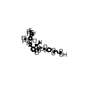 N#CC1(N(COC(=O)OC2CCC(OC(=O)CCC(=O)O)CC2)C(=O)c2cc(-c3cnn(-c4c(Cl)cc(C(F)(C(F)(F)F)C(F)(F)F)cc4OC(F)(F)F)c3)ccc2Cl)CC1